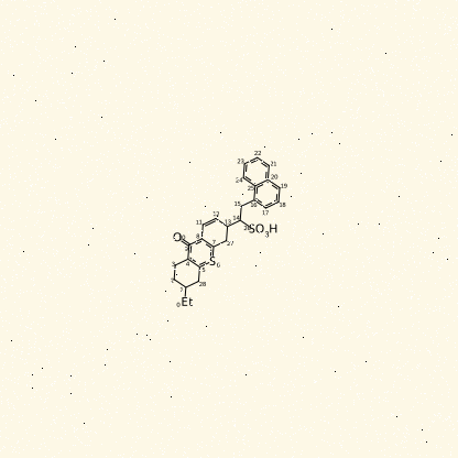 CCC1CCc2c(sc3c(c2=O)C=CC(C(Cc2cccc4ccccc24)S(=O)(=O)O)C3)C1